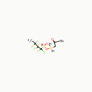 CC(C)S(CC(=O)C(C)(C)C)(OS(=O)(=O)C(F)(F)C(F)(F)C(F)(F)C(F)(F)F)C(C)C